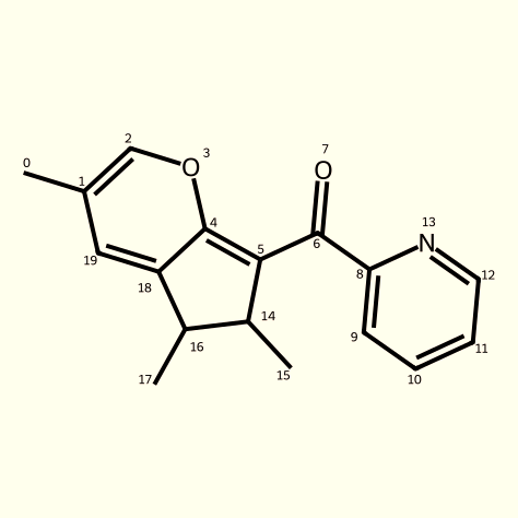 CC1=COC2=C(C(=O)c3ccccn3)C(C)C(C)C2=C1